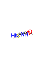 CC(C)CC(=O)OCc1ccc(-c2cc3ccc(SNC4CCC(C)CC4)cc3[nH]2)cc1